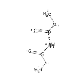 COC(=O)NC(=O)CN